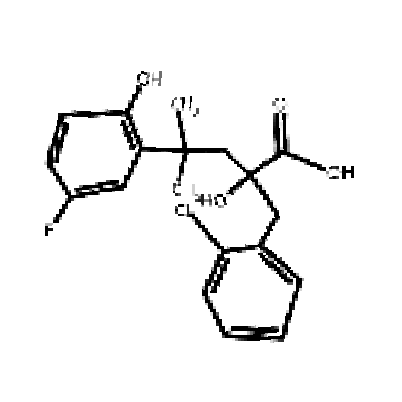 CC(C)(CC(O)(Cc1ccccc1Cl)C(=O)O)c1cc(F)ccc1O